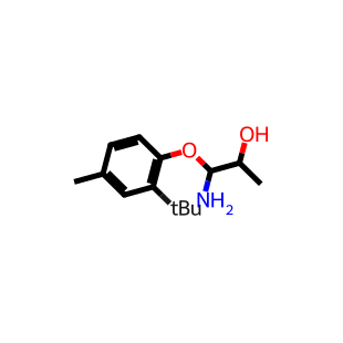 Cc1ccc(OC(N)C(C)O)c(C(C)(C)C)c1